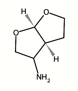 NC1CO[C@H]2OCC[C@@H]12